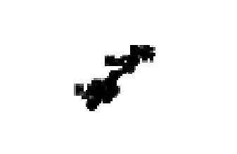 COc1cc(C(=O)N(C(C)C)C(C)C)ccc1OCCCCOc1ccc2c(NC(=O)[C@H](Cc3ccccc3)NC(=O)[C@H](C)N)noc2c1